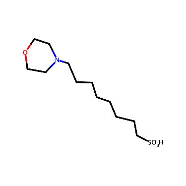 O=S(=O)(O)CCCCCCCCN1CCOCC1